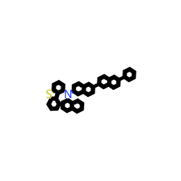 c1ccc(-c2ccc3cc(-c4ccc5cc(N(c6cccc7ccccc67)c6cccc7sc8ccccc8c67)ccc5c4)ccc3c2)cc1